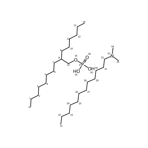 CCCCCCCCC(CCCCCC)COP(=O)(O)O.CCCCCCCCCCCCN(C)C